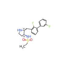 CCS(=O)(=O)N[C@H]1CCN[C@H]1Cc1cccc(-c2cccc(F)c2)c1F